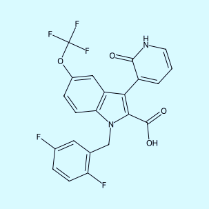 O=C(O)c1c(-c2ccc[nH]c2=O)c2cc(OC(F)(F)F)ccc2n1Cc1cc(F)ccc1F